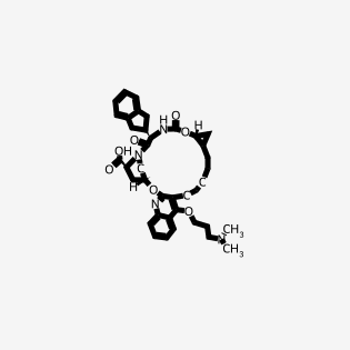 CN(C)CCCOc1c2c(nc3ccccc13)O[C@@H]1C[C@@H](C(=O)O)N(C1)C(=O)[C@H](C1Cc3ccccc3C1)NC(=O)O[C@@H]1CC1CCCCC2